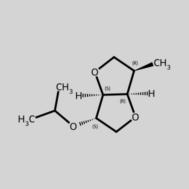 CC(C)O[C@H]1CO[C@H]2[C@@H]1OC[C@H]2C